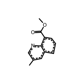 COC(=O)c1cccc2cc(C)cnc12